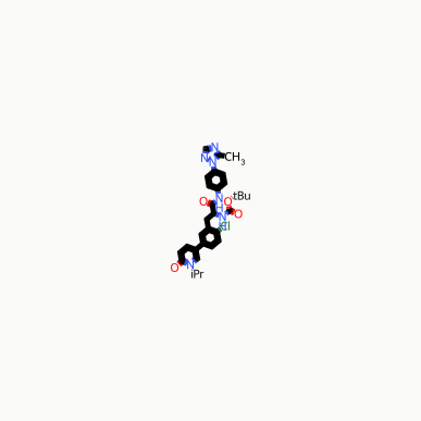 Cc1ncnn1-c1ccc(NC(=O)C(Cc2cc(-c3ccc(=O)n(C(C)C)c3)ccc2Cl)NC(=O)OC(C)(C)C)cc1